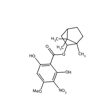 COc1cc(O)c(C(=O)OC2CC3CCC2(C)C3(C)C)c(O)c1[N+](=O)[O-]